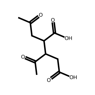 CC(=O)CC(C(=O)O)C(CC(=O)O)C(C)=O